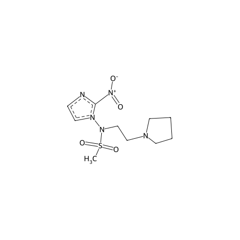 CS(=O)(=O)N(CCN1CCCC1)n1ccnc1[N+](=O)[O-]